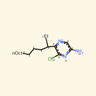 CCCCCCCCCCCC(CC)c1ncc(N)nc1Cl